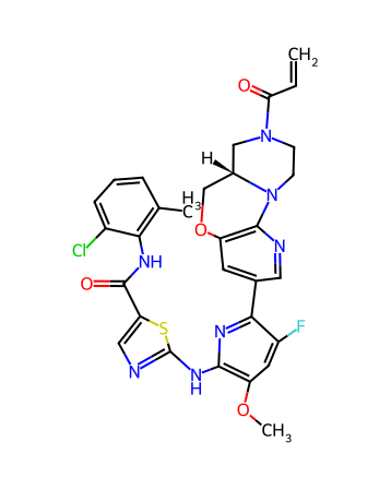 C=CC(=O)N1CCN2c3ncc(-c4nc(Nc5ncc(C(=O)Nc6c(C)cccc6Cl)s5)c(OC)cc4F)cc3OC[C@@H]2C1